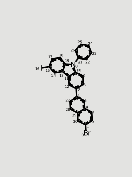 Brc1ccc2cc(-c3ccc4c(c3)c3cc(I)ccc3n4-c3ccccc3)ccc2c1